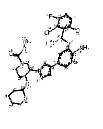 C[C@@H](Oc1cc(-c2cnn(C3CN(C(=O)OC(C)(C)C)CCC3OC3CCCCO3)c2)cnc1N)c1c(Cl)ccc(F)c1Cl